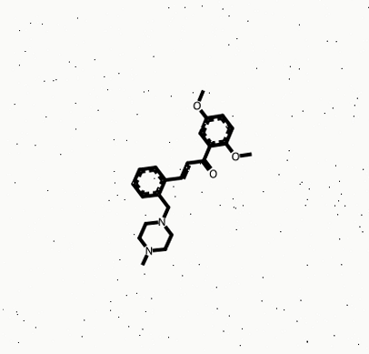 COc1ccc(OC)c(C(=O)/C=C/c2ccccc2CN2CCN(C)CC2)c1